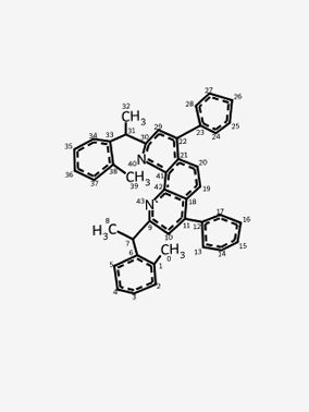 Cc1ccccc1C(C)c1cc(-c2ccccc2)c2ccc3c(-c4ccccc4)cc(C(C)c4ccccc4C)nc3c2n1